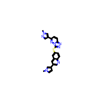 Cn1ccc(-c2cnc3ccc(Sc4nnc5ccc(-c6cnn(C)c6)nn45)cc3c2)c1